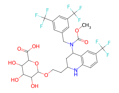 COC(=O)N(Cc1cc(C(F)(F)F)cc(C(F)(F)F)c1)C1CC(CCOC2OC(C(=O)O)C(O)C(O)C2O)Nc2ccc(C(F)(F)F)cc21